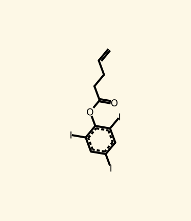 C=CCCC(=O)Oc1c(I)cc(I)cc1I